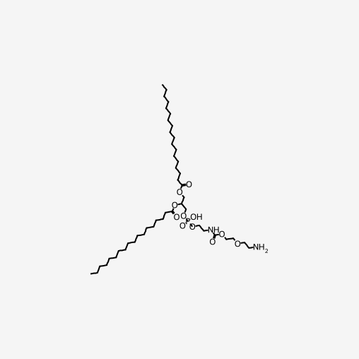 CCCCCCCCCCCCCCCCCC(=O)OCC(COP(=O)(O)OCCNC(=O)OCCOCCN)OC(=O)CCCCCCCCCCCCCCCCC